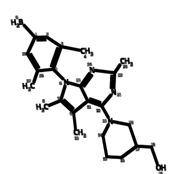 Bc1cc(C)c(-n2c(C)c(C)c3c(N4CCCC(CO)C4)nc(C)nc32)c(C)c1